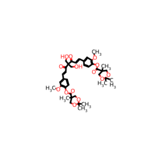 COc1cc(/C=C/C(=O)C(CO)(CO)C(=O)/C=C/c2ccc(OC(=O)C3(C)COC(C)(C)OC3)c(OC)c2)ccc1OC(=O)C1(C)COC(C)(C)OC1